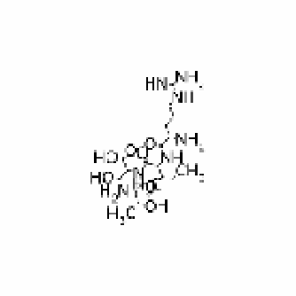 CC[C@H](C)[C@H](NC(=O)[C@H](N)CCCNC(=N)N)C(=O)N(C(=O)[C@@H](N)[C@@H](C)O)[C@@H](CO)C(=O)O